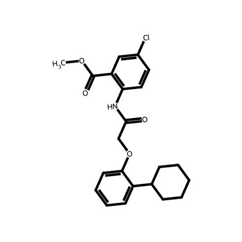 COC(=O)c1cc(Cl)ccc1NC(=O)COc1ccccc1C1CCCCC1